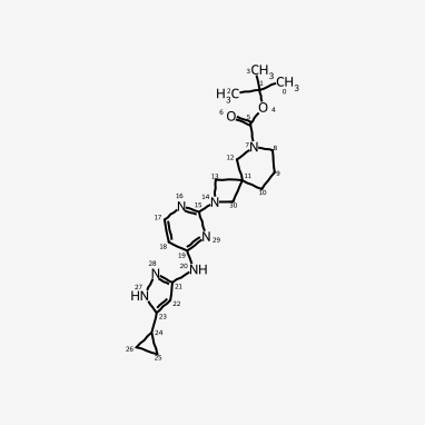 CC(C)(C)OC(=O)N1CCCC2(C1)CN(c1nccc(Nc3cc(C4CC4)[nH]n3)n1)C2